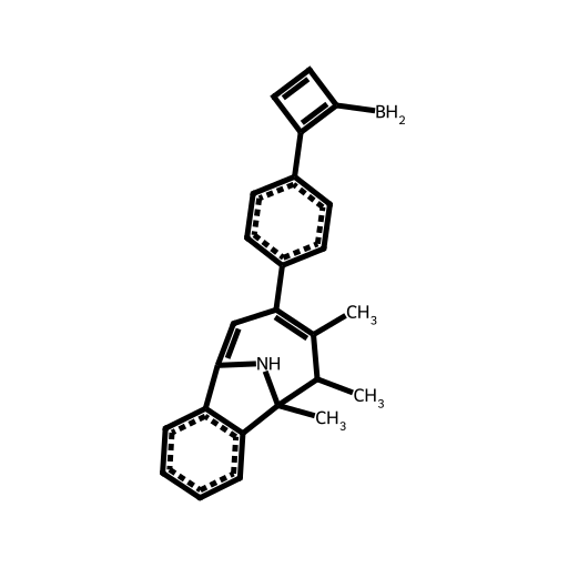 BC1=C(c2ccc(C3=C(C)C(C)C4(C)NC(=C3)c3ccccc34)cc2)C=C1